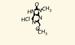 COCc1ncc2[nH]c(=O)n(C)c2n1.Cl